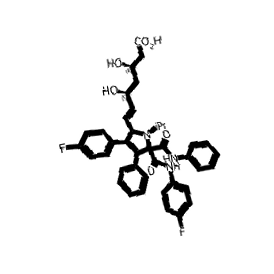 CC(C)N1C(C=C[C@@H](O)C[C@@H](O)CC(=O)O)C(c2ccc(F)cc2)=C(c2ccccc2)C1(C(=O)Nc1ccccc1)C(=O)Nc1ccc(F)cc1